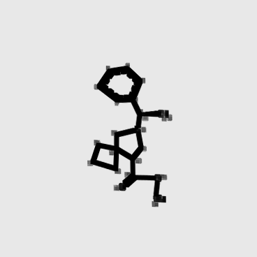 C[C@H](c1ccccc1)N1CC(C(=O)OC(C)(C)C)C2(CCC2)C1